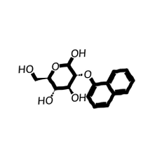 OC[C@H]1OC(O)[C@H](Oc2cccc3ccccc23)[C@@H](O)[C@@H]1O